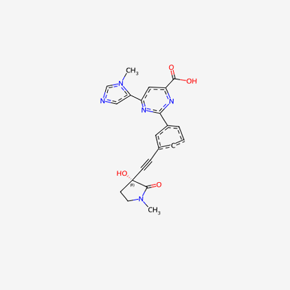 CN1CC[C@@](O)(C#Cc2cccc(-c3nc(C(=O)O)cc(-c4cncn4C)n3)c2)C1=O